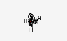 N#Cc1ccc(C(=O)C=C2NC(Cc3c[nH]cn3)(Cc3c[nH]cn3)C(=O)N2[C@H]2[C@@H]3CN(S(=O)(=O)c4ccccc4)C[C@@H]32)cc1